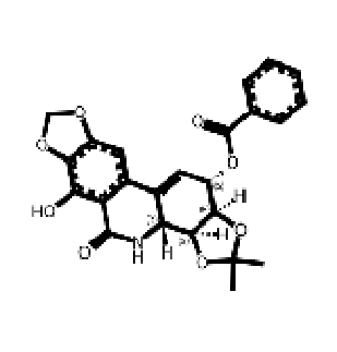 CC1(C)O[C@@H]2[C@H](O1)[C@@H](OC(=O)c1ccccc1)C=C1c3cc4c(c(O)c3C(=O)N[C@H]12)OCO4